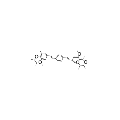 C=C(/C=C/c1ccc(/C=C/c2cc(C)c(OC(C)CC)c(OC)c2)cc1)/C=C(OC)\C(OC(C)CC)=C(/C)OC